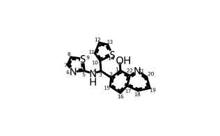 Oc1c(C(Nc2nccs2)c2cccs2)ccc2cccnc12